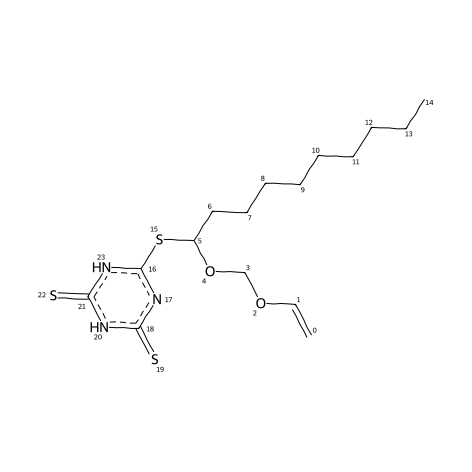 C=COCOC(CCCCCCCCC)Sc1nc(=S)[nH]c(=S)[nH]1